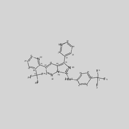 FC(F)(F)c1ccc(Nc2nc(-c3cccnc3)c3cc(-c4ncccc4C(F)(F)F)cnn23)cc1